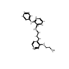 OCCOc1cnccc1CCCOc1cccnc1Oc1ccccc1